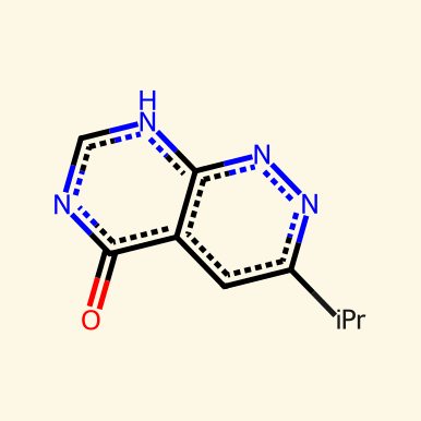 CC(C)c1cc2c(=O)nc[nH]c2nn1